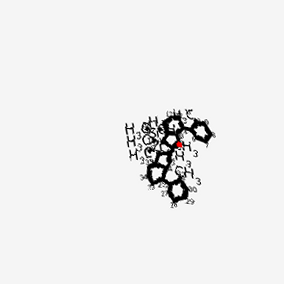 CC1=Cc2c(-c3ccccc3C)cccc2[CH]1[Zr]([CH3])([CH3])([CH]1C(C)=Cc2c(-c3ccccc3C)cccc21)[SiH](C)C